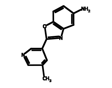 Cc1cncc(-c2nc3cc(N)ccc3o2)c1